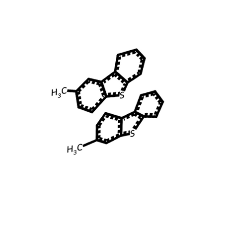 Cc1ccc2c(c1)sc1ccccc12.Cc1ccc2sc3ccccc3c2c1